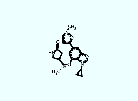 C[C@@H](Oc1cc(-c2ccn(C)n2)cc2ncn(C3CC3)c12)C1CNC(=O)C1